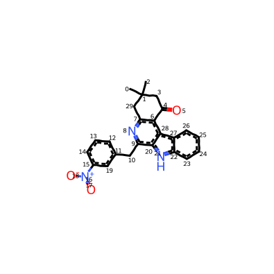 CC1(C)CC(=O)c2c(nc(Cc3cccc([N+](=O)[O-])c3)c3[nH]c4ccccc4c23)C1